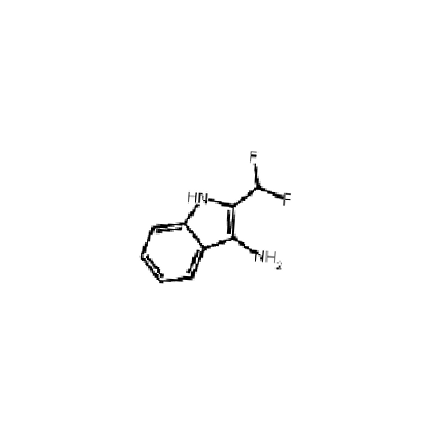 Nc1c(C(F)F)[nH]c2ccccc12